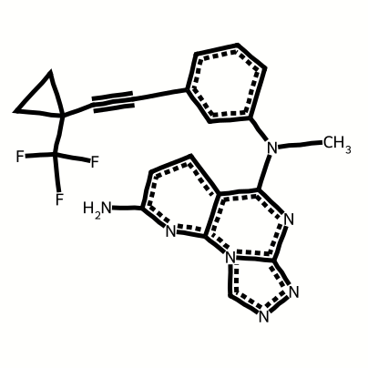 CN(c1cccc(C#CC2(C(F)(F)F)CC2)c1)c1nc2nncn2c2nc(N)ccc12